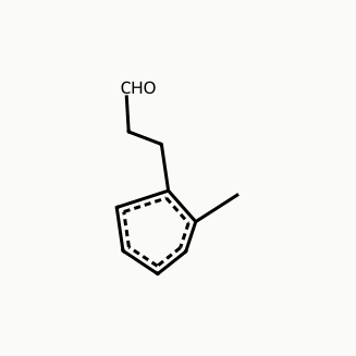 Cc1ccccc1CCC=O